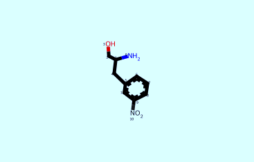 NC(CO)Cc1cccc([N+](=O)[O-])c1